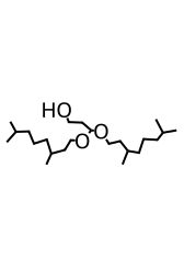 CC(C)CCCC(C)CCOC(CCO)OCCC(C)CCCC(C)C